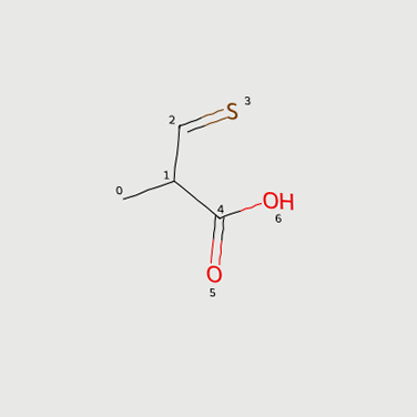 CC(C=S)C(=O)O